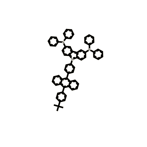 CC(C)(C)c1ccc(-c2c3ccccc3c(-c3ccc(-n4c5ccc(N(c6ccccc6)c6ccccc6)cc5c5cc(N(c6ccccc6)c6ccccc6)ccc54)cc3)c3ccccc23)cc1